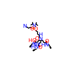 C#CCNC(=O)CCC(CCC(=O)NCC#C)(CCC(O)NCC#C)NC(=O)CCCCOP(OCCC#N)N(C(C)C)C(C)C